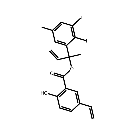 C=Cc1ccc(O)c(C(=O)OC(C)(C=C)c2cc(I)cc(I)c2I)c1